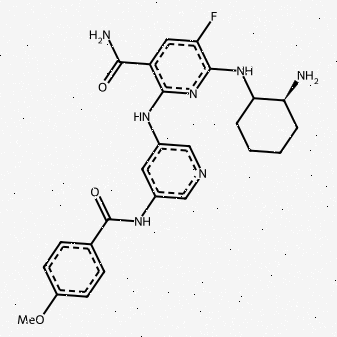 COc1ccc(C(=O)Nc2cncc(Nc3nc(NC4CCCC[C@@H]4N)c(F)cc3C(N)=O)c2)cc1